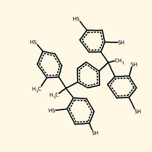 Cc1cc(S)ccc1C(C)(c1ccc(C(C)(c2ccc(S)cc2S)c2ccc(S)cc2S)cc1)c1ccc(S)cc1S